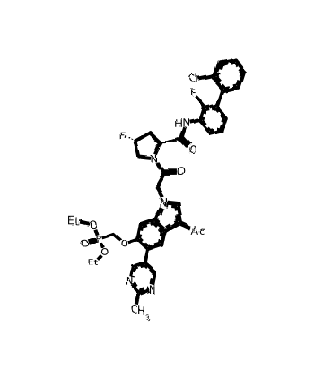 CCOP(=O)(COc1cc2c(cc1-c1cnc(C)nc1)c(C(C)=O)cn2CC(=O)N1C[C@H](F)C[C@H]1C(=O)Nc1cccc(-c2ccccc2Cl)c1F)OCC